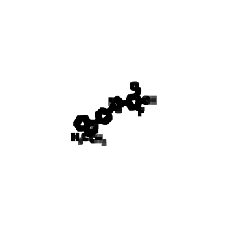 CC1(C)CN(c2ccc(-c3ncc(-c4cc(F)c(O)c(C=O)c4)s3)cc2)c2ccccc21